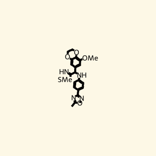 COc1cc(C(Nc2ccc(-c3noc(C)n3)cc2)C(=N)SC)cc2c1OCCO2